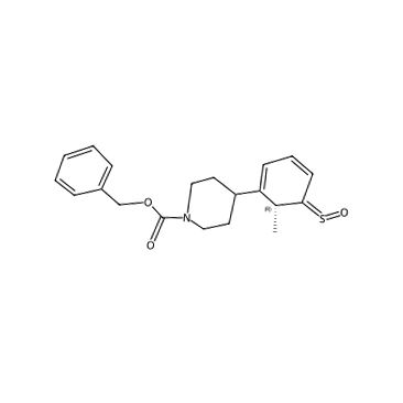 C[C@@H]1C(C2CCN(C(=O)OCc3ccccc3)CC2)=CC=CC1=S=O